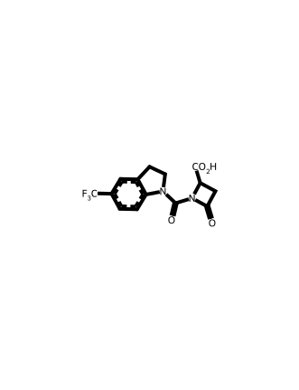 O=C(O)C1CC(=O)N1C(=O)N1CCc2cc(C(F)(F)F)ccc21